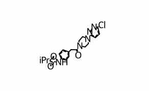 CC(C)S(=O)(=O)Nc1ccc(CC(=O)N2CCN(c3ccc(Cl)nn3)CC2)cc1